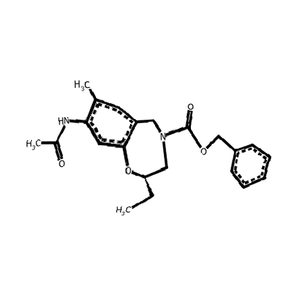 CC[C@@H]1CN(C(=O)OCc2ccccc2)Cc2cc(C)c(NC(C)=O)cc2O1